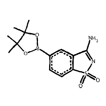 CC1(C)OB(c2ccc3c(c2)C(N)=NS3(=O)=O)OC1(C)C